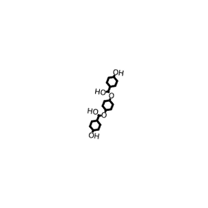 OC1CCC(C(O)OC2CCC(OC(O)C3CCC(O)CC3)CC2)CC1